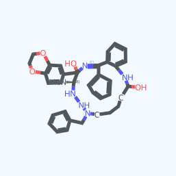 CN[C@@H]1NNN(Cc2ccccc2)CCCCC(O)Nc2ccccc2/C(c2ccccc2)=N/C1(O)c1ccc2c(c1)OCCO2